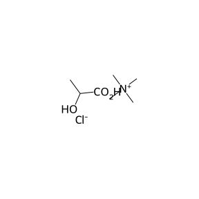 CC(O)C(=O)O.C[N+](C)(C)C.[Cl-]